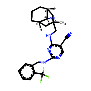 CC1(CNc2nc(NCc3ccccc3C(F)(F)F)ncc2C#N)C[C@H]2CCC[C@@H](C1)[C@@H]2N